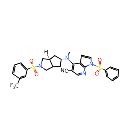 CN(c1c(C#N)cnc2c1ccn2S(=O)(=O)c1ccccc1)[C@@H]1CC2CN(S(=O)(=O)c3cccc(C(F)(F)F)c3)C[C@H]2C1